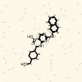 NCC1CCC(CNc2nc(Nc3ccc4ccccc4c3)ncc2[N+](=O)O)CC1